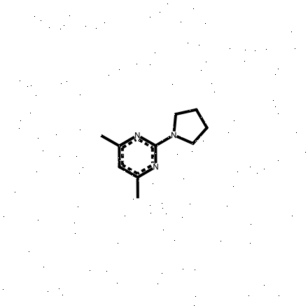 Cc1cc(C)nc(N2CCCC2)n1